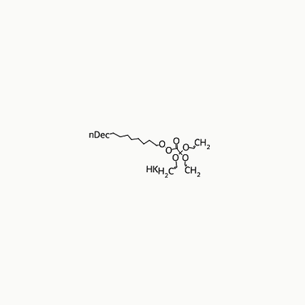 C=COC(OC=C)(OC=C)C(=O)OOCCCCCCCCCCCCCCCCCC.[KH]